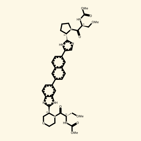 COC[C@H](NC(=O)OC)C(=O)N1CCC[C@H]1c1ncc(-c2ccc3cc(-c4ccc5nc([C@@H]6COCCN6C(=O)[C@H](COC)NC(=O)OC)[nH]c5c4)ccc3c2)[nH]1